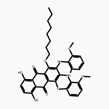 CCCCCCCCOc1c(Nc2c(C)cccc2OC)c(Nc2c(C)cccc2OC)c(F)c2c1C(=O)c1c(O)ccc(O)c1C2=O